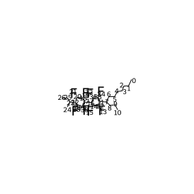 CCCCCCCC(CCC)c1c(F)c(F)c(-c2c(F)c(F)c(C(C)CC)c(F)c2F)c(F)c1F